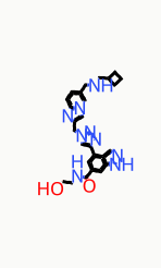 O=C(NCCO)c1cc(-c2cn(Cc3cn4cc(CNCC5CCC5)ccc4n3)nn2)c2cn[nH]c2c1